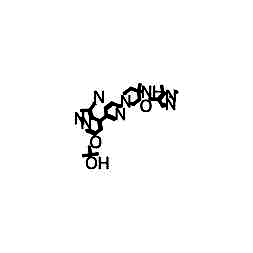 Cc1c(C(=O)NC2(C)CCN(c3ccc(-c4cc(OCC(C)(C)O)cn5ncc(C#N)c45)cn3)CC2)cnn1C